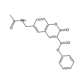 CC(=O)NCc1ccc2oc(=O)c(C(=O)Oc3ccccc3)cc2c1